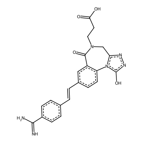 N=C(N)c1ccc(/C=C/c2ccc3c(c2)C(=O)N(CCC(=O)O)Cc2nnc(O)n2-3)cc1